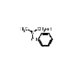 CN(C)C.Cl.c1ccccc1